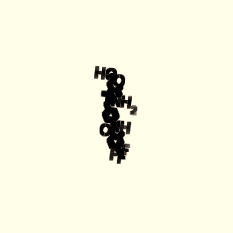 C=C(C)/C(CC(=O)O)=C(/C)N(N)Cc1ccc(NC(=O)c2ccc(C(F)(F)F)cc2C)cc1